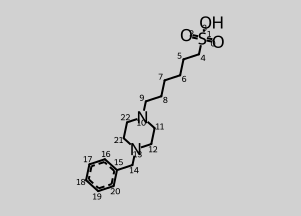 O=S(=O)(O)CCCCCCN1CCN(Cc2ccccc2)CC1